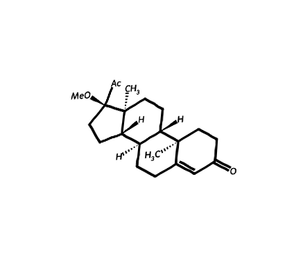 CO[C@]1(C(C)=O)CC[C@H]2[C@@H]3CCC4=CC(=O)CC[C@]4(C)[C@H]3CC[C@@]21C